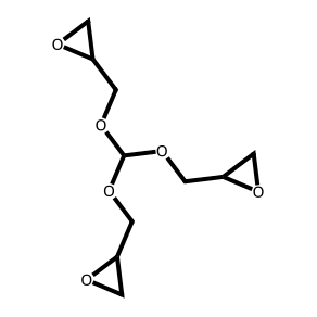 C1OC1COC(OCC1CO1)OCC1CO1